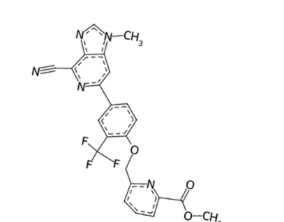 COC(=O)c1cccc(COc2ccc(-c3cc4c(ncn4C)c(C#N)n3)cc2C(F)(F)F)n1